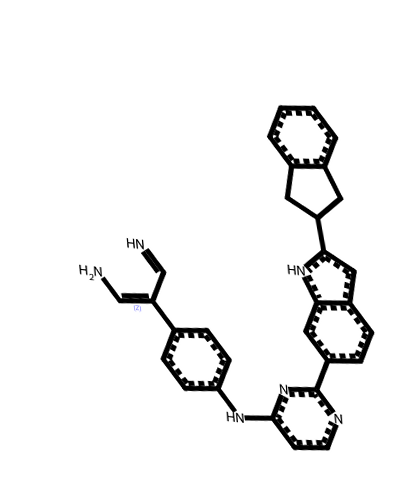 N=C/C(=C\N)c1ccc(Nc2ccnc(-c3ccc4cc(C5Cc6ccccc6C5)[nH]c4c3)n2)cc1